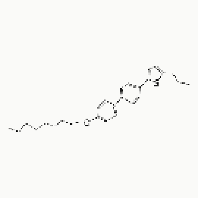 CCCCCCCCCOc1ccc(-c2ccc(-c3ccc(CCC)s3)cc2)cc1